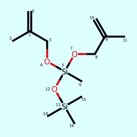 C=C(C)CO[Si](C)(OCC(=C)C)O[Si](C)(C)C